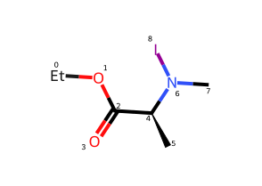 CCOC(=O)[C@H](C)N(C)I